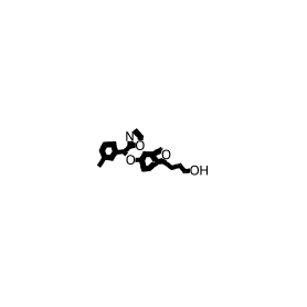 Cc1cccc(C(Oc2ccc3c(CCCO)occ3c2)c2ncco2)c1